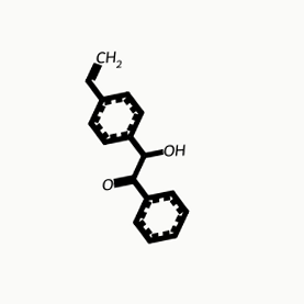 C=Cc1ccc(C(O)C(=O)c2ccccc2)cc1